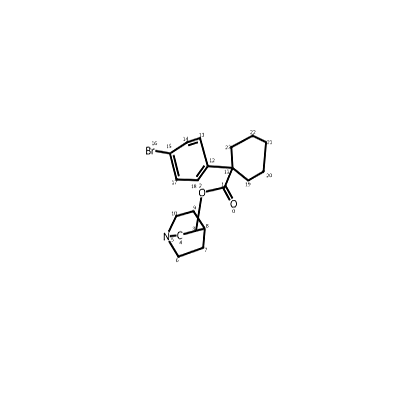 O=C(OC1CN2CCC1CC2)C1(c2ccc(Br)cc2)CCCCC1